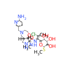 C=N[C@]1(C(=O)N[C@H]([C@H](C)Cl)[C@H]2OC(SC)[C@H](O)C(O)C2O)NC[C@@H]2CN(Cc3ccc(N)nc3)CCO[C@H]21